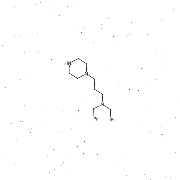 CC(C)CN(CCCN1CCNCC1)CC(C)C